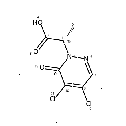 C[C@@H](C(=O)O)n1ncc(Cl)c(Cl)c1=O